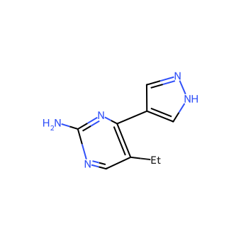 CCc1cnc(N)nc1-c1cn[nH]c1